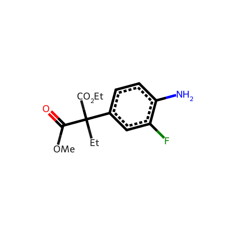 CCOC(=O)C(CC)(C(=O)OC)c1ccc(N)c(F)c1